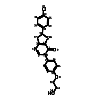 O=c1c2c(ncn1-c1ccc(OCCO)cc1)CC(c1ccc(Cl)cc1)S2